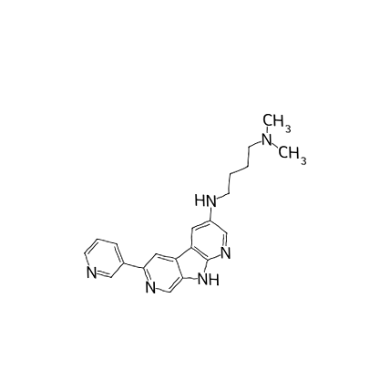 CN(C)CCCCNc1cnc2[nH]c3cnc(-c4cccnc4)cc3c2c1